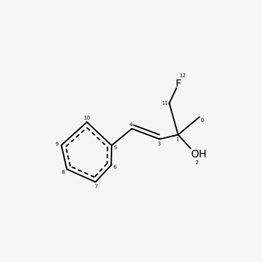 CC(O)(C=Cc1ccccc1)CF